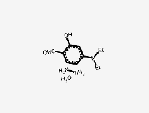 CCN(CC)c1ccc(C=O)c(O)c1.NN.O